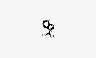 CC(S)n1cnc2ncncc21